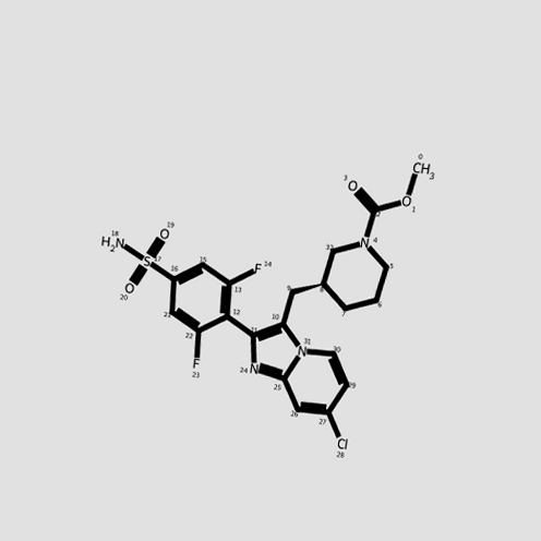 COC(=O)N1CCC[C@@H](Cc2c(-c3c(F)cc(S(N)(=O)=O)cc3F)nc3cc(Cl)ccn23)C1